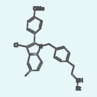 CCNCCc1ccc(Cn2c(-c3ccc(OC)cc3)c(Cl)c3cc(C)ccc32)cc1